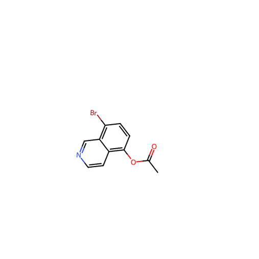 CC(=O)Oc1ccc(Br)c2cnccc12